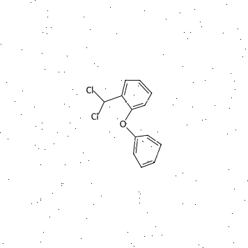 ClC(Cl)c1ccccc1Oc1ccccc1